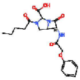 CCCCC(=O)N1CC2[C@@H](NC(=O)COc3ccccc3)C(=O)N2C1C(=O)O